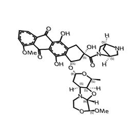 COc1cccc2c1C(=O)c1c(O)c3c(c(O)c1C2=O)C[C@@](O)(C(=O)N1C[C@@H]2C[C@H]1CN2)C[C@@H]3O[C@H]1C[C@H]2[C@H](O[C@@H]3[C@@H](OC)OCCN32)[C@H](C)O1